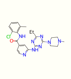 CCc1nc(Nc2cc(C(=O)Nc3c(C)cccc3Cl)ccn2)nc(N2CCN(C)CC2)n1